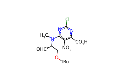 CN(c1nc(Cl)nc(C(=O)O)c1[N+](=O)[O-])[C@H](C=O)COC(C)(C)C